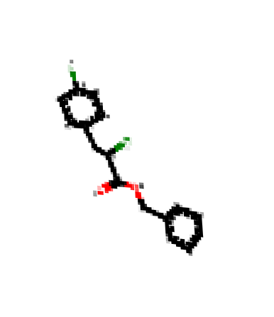 O=C(OCc1ccccc1)C(Cl)Cc1ccc(F)cc1